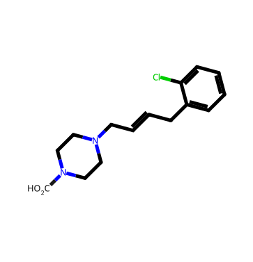 O=C(O)N1CCN(CC=CCc2ccccc2Cl)CC1